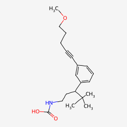 COCCCC#Cc1cccc(C(CCNC(=O)O)C(C)(C)C)c1